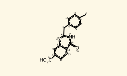 Cc1ccc(Cc2nc3cc(C(=O)O)ccc3c(=O)[nH]2)cc1